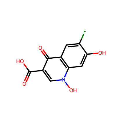 O=C(O)c1cn(O)c2cc(O)c(F)cc2c1=O